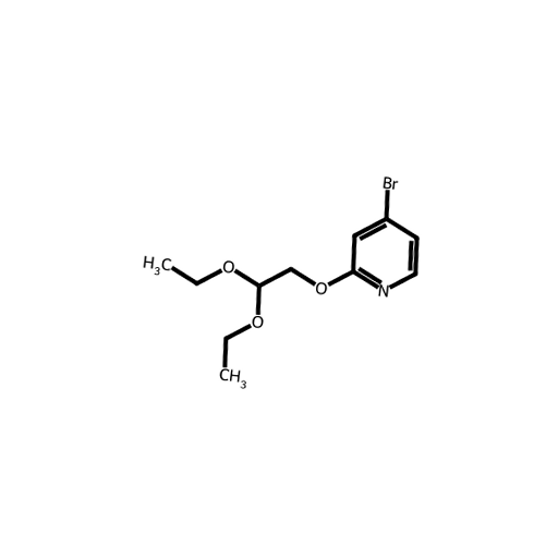 CCOC(COc1cc(Br)ccn1)OCC